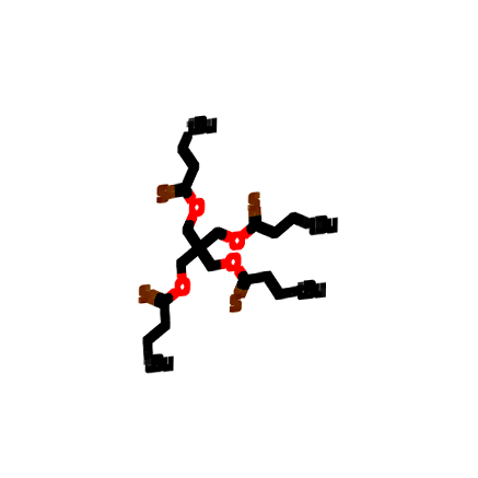 CC(C)(C)CCC(=S)OCC(COC(=S)CCC(C)(C)C)(COC(=S)CCC(C)(C)C)COC(=S)CCC(C)(C)C